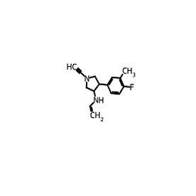 C#CN1CC(NC=C)C(c2ccc(F)c(C)c2)C1